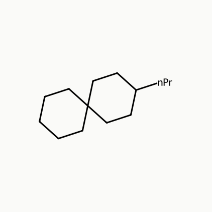 [CH2]CCC1CCC2(CCCCC2)CC1